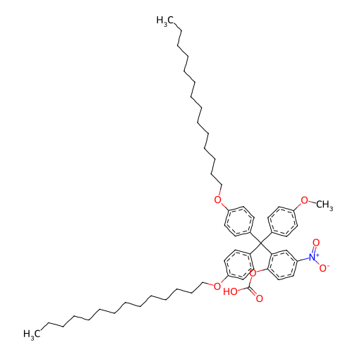 CCCCCCCCCCCCCCOc1ccc(C(c2ccc(OC)cc2)(c2ccc(OCCCCCCCCCCCCCC)cc2)c2cc([N+](=O)[O-])ccc2OC(=O)O)cc1